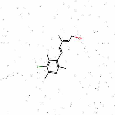 CC(C=Cc1c(C)cc(C)c(Cl)c1C)=CCO